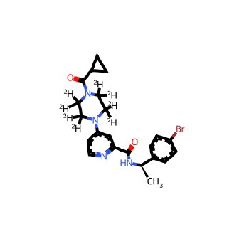 [2H]C1([2H])N(C(=O)C2CC2)C([2H])([2H])C([2H])([2H])N(c2ccnc(C(=O)N[C@H](C)c3ccc(Br)cc3)c2)C1([2H])[2H]